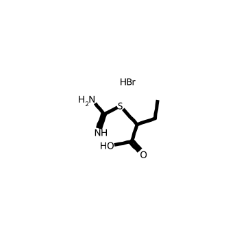 Br.CCC(SC(=N)N)C(=O)O